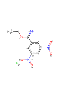 CCOC(=N)c1cc([N+](=O)[O-])cc([N+](=O)[O-])c1.Cl